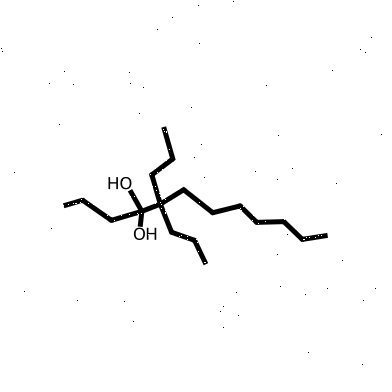 CCCCCCCC(CCC)(CCC)C(O)(O)CCC